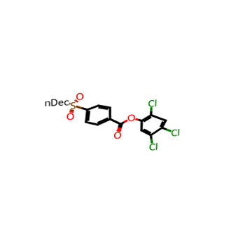 CCCCCCCCCCS(=O)(=O)c1ccc(C(=O)Oc2cc(Cl)c(Cl)cc2Cl)cc1